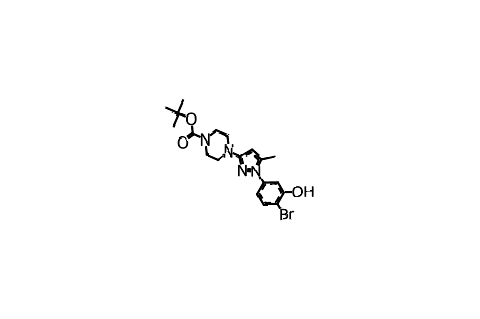 Cc1cc(N2CCN(C(=O)OC(C)(C)C)CC2)nn1-c1ccc(Br)c(O)c1